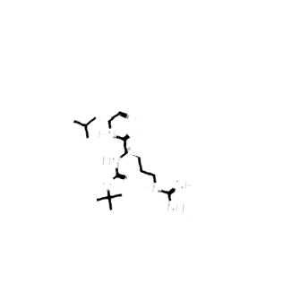 CC(C)C[C@H]([C]=O)NC(=O)[C@@H](CCCNC(=N)N)NC(=O)OC(C)(C)C